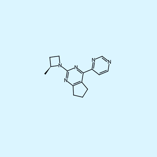 C[C@H]1CCN1c1nc2c(c(-c3ccncn3)n1)CCC2